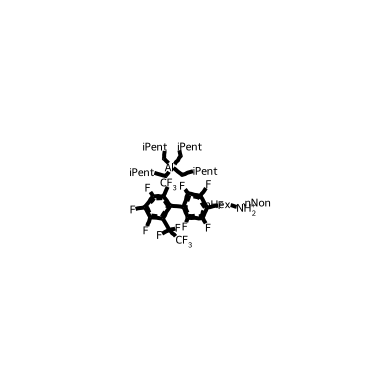 CCCC(C)[CH2][Al-]([CH2]C(C)CCC)([CH2]C(C)CCC)[CH2]C(C)CCC.CCCCCCCCC[NH2+]CCCCCC.Fc1c(F)c(F)c(-c2c(C(F)(F)F)c(F)c(F)c(F)c2C(F)(F)C(F)(F)F)c(F)c1F